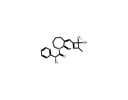 C/C=C1\C(=C/C2=CC(F)C2(O)C(F)(F)F)CCCCN1C(=O)[C@@H](CC)c1ccccc1